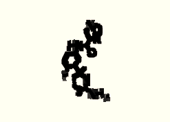 CC1(c2cc(NC(=O)c3cnon3)ccc2F)CCSC(N)=N1